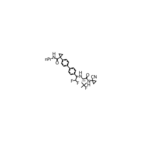 CCCNC(=O)C1(c2ccc(-c3ccc([C@H](N[C@@H](CC(C)(C)F)C(=O)NC4(C#N)CC4)C(F)F)cc3)cc2)CC1